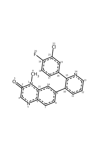 Cn1c(=O)cnc2ccc(-c3cccnc3-c3ccc(F)c(Cl)c3)cc21